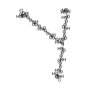 O=C(CC[C@H](NC(=O)C1CCCCC1)C(=O)O)NCCOCCOCC(=O)NCCOCCOCC(=O)NCCCN(CCCNC(=O)COCCOCCNC(=O)COCCOCCNC(=O)CC[C@H](NC(=O)C1CCCCC1)C(=O)O)CC(=O)NCCOCCOCC(=O)NCCOCCOCC(=O)NCCOCCOCC(=O)NCCOCCOCC(=O)Oc1c(Cl)cc(Cl)cc1S(=O)(=O)O